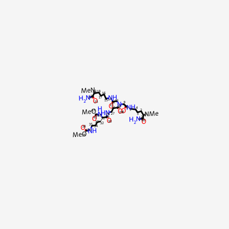 CNC(CCCCNC(=O)CN(CC(=O)NCCCCC(NC)C(N)=O)C(=O)CCNC(=O)[C@H](CCCCNC(=O)OC)NC(=O)OC)C(N)=O